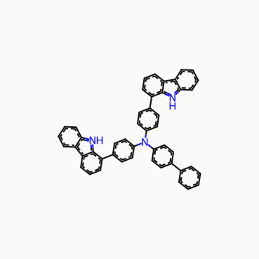 c1ccc(-c2ccc(N(c3ccc(-c4cccc5c4[nH]c4ccccc45)cc3)c3ccc(-c4cccc5c4[nH]c4ccccc45)cc3)cc2)cc1